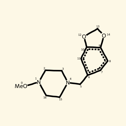 CON1CCN(Cc2ccc3c(c2)OCO3)CC1